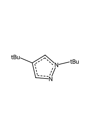 CC(C)(C)c1cnn(C(C)(C)C)c1